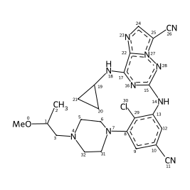 COC(C)CN1CCN(c2cc(C#N)cc(Nc3nc(NC4CC4)c4ncc(C#N)n4n3)c2Cl)CC1